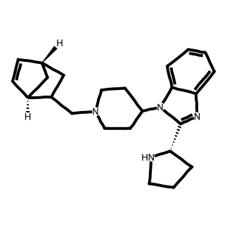 C1=C[C@H]2C[C@H]1CC2CN1CCC(n2c([C@@H]3CCCN3)nc3ccccc32)CC1